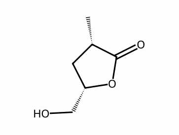 C[C@H]1C[C@@H](CO)OC1=O